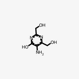 Nc1c(O)nc(CO)nc1CO